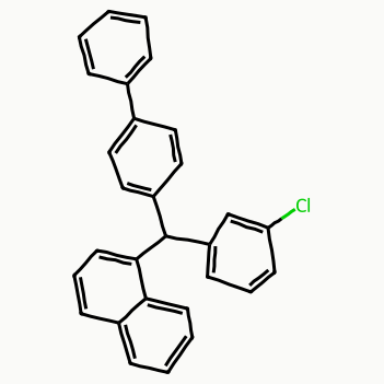 Clc1cccc(C(c2ccc(-c3ccccc3)cc2)c2cccc3ccccc23)c1